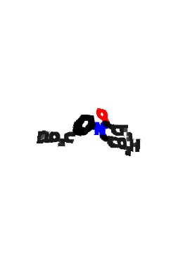 CCOC(=O)c1cccc(N(CC(=O)O)C(=O)C(F)(F)F)c1